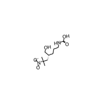 CC(C)(C[C@H](CO)CCCNC(=O)O)[N+](=O)[O-]